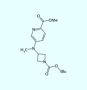 COC(=O)c1ccc(N(C)C2CN(C(=O)OC(C)(C)C)C2)cn1